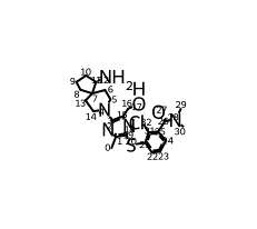 Cc1nc(N2CCC3(CCC[C@H]3N)CC2)c(CO)nc1Sc1cccc(C(=O)N(C)C)c1Cl